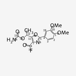 COc1ccc(-c2nc(C(=O)F)c(C(C)OC(N)=O)o2)cc1OC